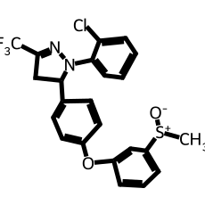 C[S+]([O-])c1cccc(Oc2ccc(C3CC(C(F)(F)F)=NN3c3ccccc3Cl)cc2)c1